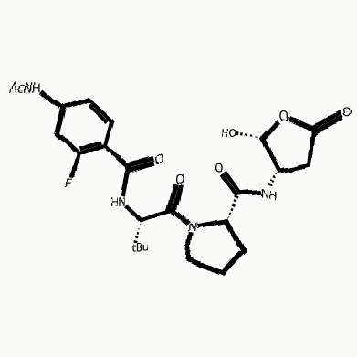 CC(=O)NC1C=CC(C(=O)N[C@H](C(=O)N2CCC[C@H]2C(=O)N[C@H]2CC(=O)O[C@H]2O)C(C)(C)C)=C(F)C1